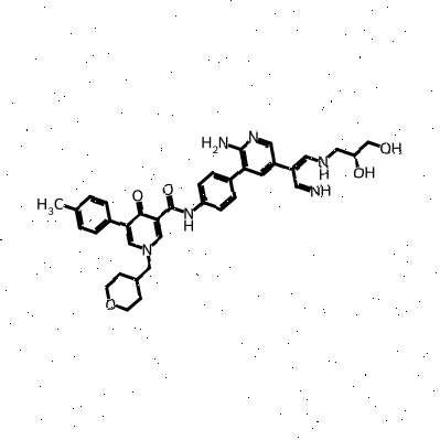 Cc1ccc(-c2cn(CC3CCOCC3)cc(C(=O)Nc3ccc(-c4cc(/C(C=N)=C/NC[C@H](O)CO)cnc4N)cc3)c2=O)cc1